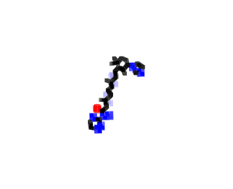 CC1=C(/C=C/C(C)=C/C=C/C(C)=C/C(=O)Nc2nccnn2)C(C)(C)CCC1n1ccnc1